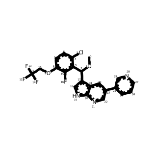 COC(c1c(Cl)ccc(OCC(F)(F)F)c1F)c1c[nH]c2ncc(-c3cccnc3)cc12